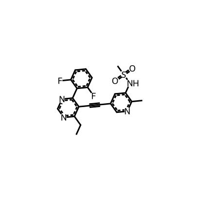 CCc1ncnc(-c2c(F)cccc2F)c1C#Cc1cnc(C)c(NS(C)(=O)=O)c1